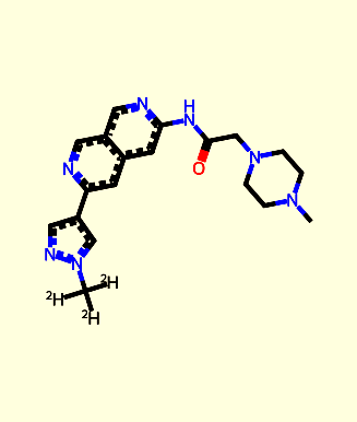 [2H]C([2H])([2H])n1cc(-c2cc3cc(NC(=O)CN4CCN(C)CC4)ncc3cn2)cn1